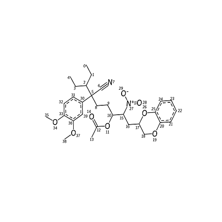 CCC(CC)C(C#N)(CCC(OC(C)=O)C(CC1COc2ccccc2O1)[N+](=O)[O-])c1ccc(OC)c(OC)c1